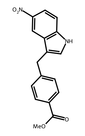 COC(=O)c1ccc(Cc2c[nH]c3ccc([N+](=O)[O-])cc23)cc1